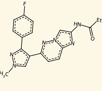 CCC(=O)Nc1cn2nc(-c3cn(C)nc3-c3ccc(F)cc3)ccc2n1